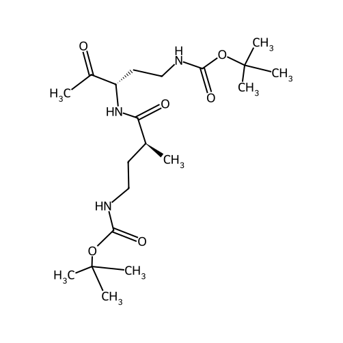 CC(=O)[C@H](CCNC(=O)OC(C)(C)C)NC(=O)[C@@H](C)CCNC(=O)OC(C)(C)C